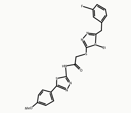 CCn1c(Cc2cccc(F)c2)nnc1SCC(=O)Nc1nnc(-c2ccc(OC)cc2)s1